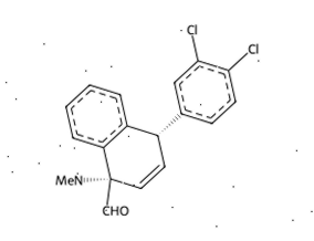 CN[C@@]1(C=O)C=C[C@@H](c2ccc(Cl)c(Cl)c2)c2ccccc21